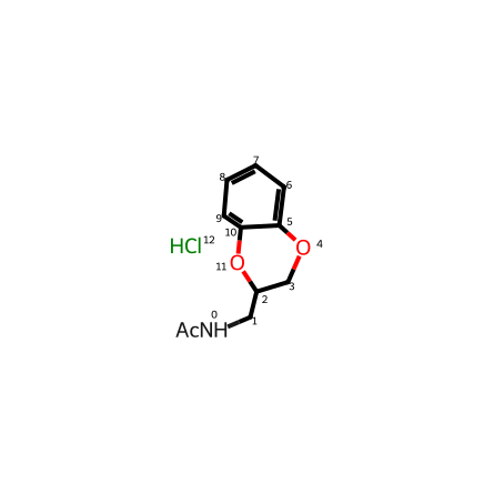 CC(=O)NCC1COc2ccccc2O1.Cl